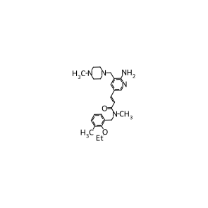 CCOc1c(C)cccc1CN(C)C(=O)C=Cc1cnc(N)c(CN2CCN(C)CC2)c1